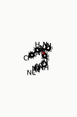 N#Cc1ncnc(NC2CCN(Cc3ccc(-n4c(-c5cccnc5N)nc5ccc(-c6ccc(Cl)cc6)nc54)cc3)CC2)n1